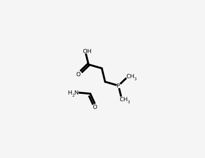 CP(C)CCC(=O)O.NC=O